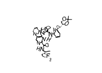 C[C@@H](NC(=O)c1ncc2c(n1)N(C(=O)Nc1cccc(OC[C@@H]3COC(C)(C)O3)n1)[C@H]1CCCN2C1)C(F)(F)F